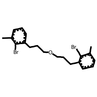 Cc1cccc(CCCOCCCc2cccc(C)c2Br)c1Br